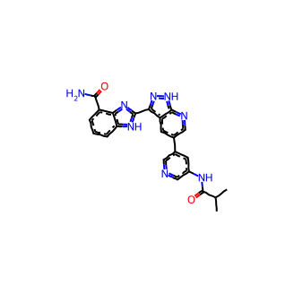 CC(C)C(=O)Nc1cncc(-c2cnc3[nH]nc(-c4nc5c(C(N)=O)cccc5[nH]4)c3c2)c1